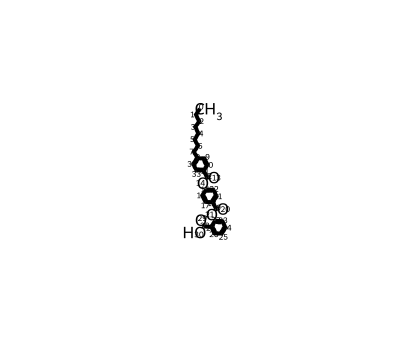 CCCCCCCCc1ccc(C(=O)Oc2ccc(C(=O)Oc3ccccc3C(=O)O)cc2)cc1